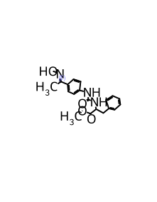 COC(=O)C(Cc1ccccc1)NC(=O)Nc1ccc(/C(C)=N/O)cc1